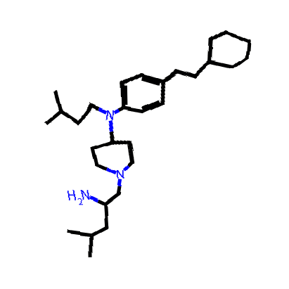 CC(C)CCN(c1ccc(CCC2CCCCC2)cc1)C1CCN(CC(N)CC(C)C)CC1